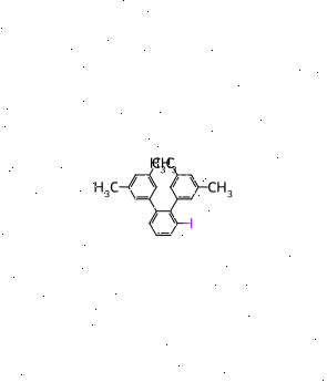 Cc1cc(C)cc(-c2cccc(I)c2-c2cc(C)cc(C)c2)c1